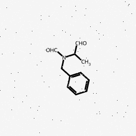 CC(C=O)N([C]=O)Cc1ccccc1